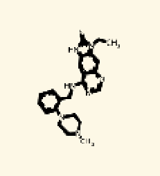 CCn1c(=S)[nH]c2cc3c(NCc4ccccc4N4CCN(C)CC4)ncnc3cc21